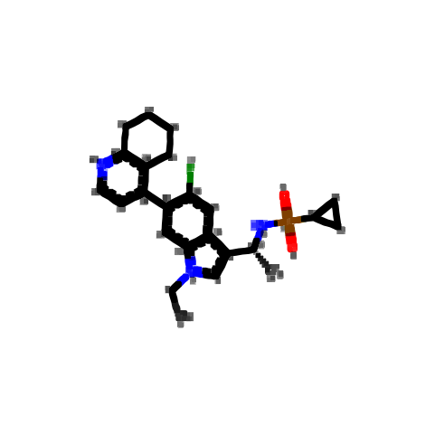 CC(C)(C)Cn1cc([C@H](NS(=O)(=O)C2CC2)C(F)(F)F)c2cc(F)c(-c3ccnc4c3CCCC4)cc21